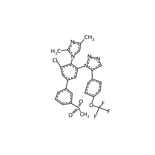 Cc1cn(-c2c(Cl)cc(-c3cccc(S(C)(=O)=O)c3)cc2-n2nncc2-c2ccc(OC(F)(F)F)cc2)c(C)n1